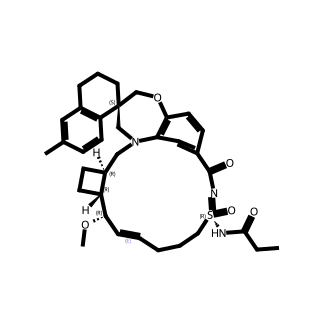 CCC(=O)N[S@@]1(=O)=NC(=O)c2ccc3c(c2)N(C[C@@H]2CC[C@H]2[C@@H](OC)/C=C/CCC1)C[C@@]1(CCCc2cc(C)ccc21)CO3